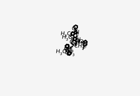 Cc1cc2c(cnn2C2CCCCO2)c(-c2nc3c4c(nc(OC[C@@]56CCCN5C[C@H](F)C6)nc4c2F)N(C)[C@@H](CCO[Si](c2ccccc2)(c2ccccc2)C(C)(C)C)CO3)c1C